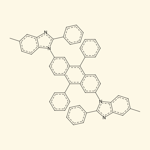 Cc1ccc2c(c1)nc(-c1ccccc1)n2-c1ccc2c(-c3ccccc3)c3cc(-n4c(-c5ccccc5)nc5cc(C)ccc54)ccc3c(-c3ccccc3)c2c1